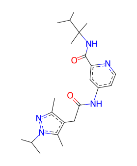 Cc1nn(C(C)C)c(C)c1CC(=O)Nc1ccnc(C(=O)NC(C)(C)C(C)C)c1